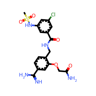 CS(=O)(=O)Nc1cc(Cl)cc(C(=O)NCc2ccc(C(=N)N)cc2OCC(N)=O)c1